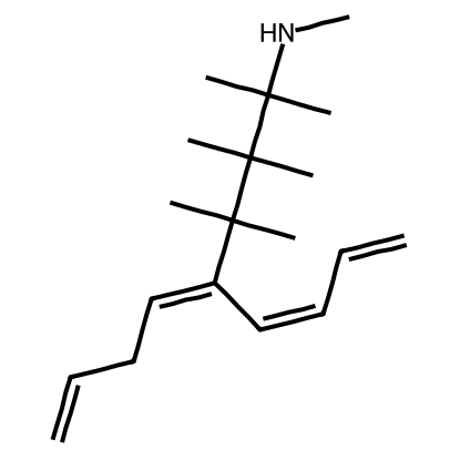 C=C/C=C\C(=C/CC=C)C(C)(C)C(C)(C)C(C)(C)NC